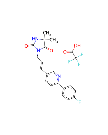 CC1(C)NC(=O)N(C/C=C/c2ccc(-c3ccc(F)cc3)nc2)C1=O.O=C(O)C(F)(F)F